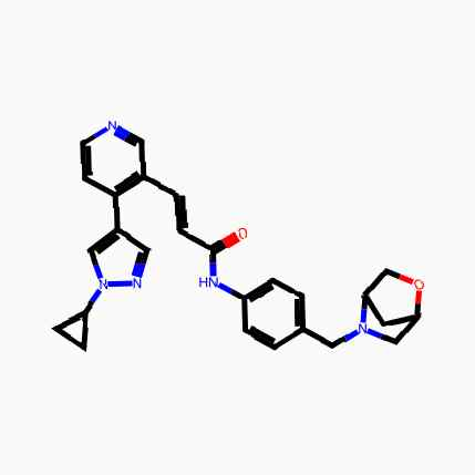 O=C(C=Cc1cnccc1-c1cnn(C2CC2)c1)Nc1ccc(CN2CC3CC2CO3)cc1